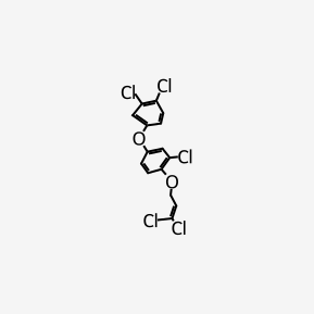 ClC(Cl)=CCOc1ccc(Oc2ccc(Cl)c(Cl)c2)cc1Cl